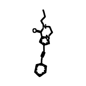 CCCN1CCn2cc(C#Cc3ccccc3)cc2C1=O